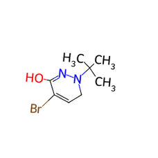 CC(C)(C)N1CC=C(Br)C(O)=N1